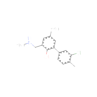 Cc1ccc(-c2cc(C(C)(C)C)cc(CNC(C)(C)C)c2O)cc1Cl